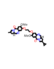 COc1cc2c(cc1OCCCOc1cc3c(cc1OC)C(=O)N1C=C(C4CC4)C[C@H]1C=N3)N=C[C@@H]1CC(C)=CN1C2=O